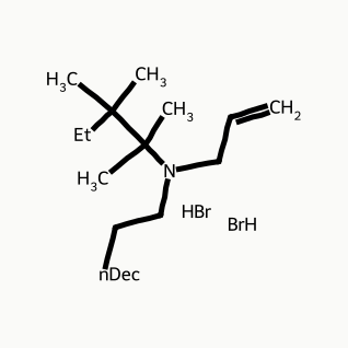 Br.Br.C=CCN(CCCCCCCCCCCC)C(C)(C)C(C)(C)CC